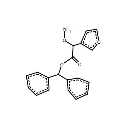 NOC(C(=O)OC(c1ccccc1)c1ccccc1)c1ccoc1